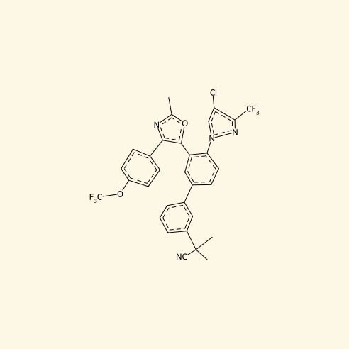 Cc1nc(-c2ccc(OC(F)(F)F)cc2)c(-c2cc(-c3cccc(C(C)(C)C#N)c3)ccc2-n2cc(Cl)c(C(F)(F)F)n2)o1